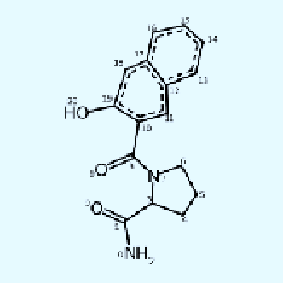 NC(=O)C1CCCN1C(=O)c1cc2ccccc2cc1O